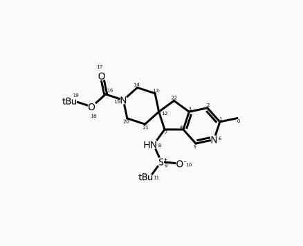 Cc1cc2c(cn1)C(N[S+]([O-])C(C)(C)C)C1(CCN(C(=O)OC(C)(C)C)CC1)C2